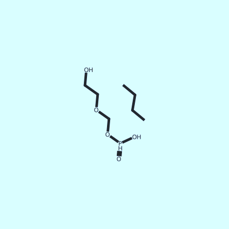 CCCC.O=[PH](O)OCOCCO